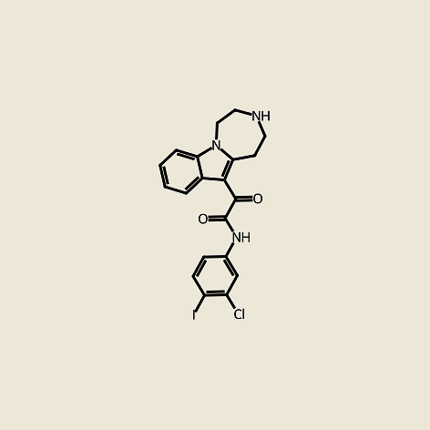 O=C(Nc1ccc(I)c(Cl)c1)C(=O)c1c2n(c3ccccc13)CCNCC2